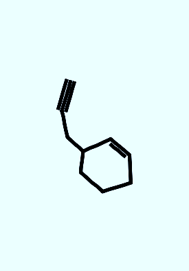 C#CCC1C=CCCC1